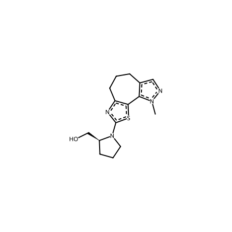 Cn1ncc2c1-c1sc(N3CCC[C@H]3CO)nc1CCC2